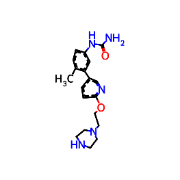 Cc1ccc(NC(N)=O)cc1-c1ccc(OCCN2CCNCC2)nc1